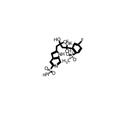 CCCS(=O)(=O)c1cc2cc(CC(O)(CC(C)(C)c3cc(F)ccc3S(C)(=O)=O)C(F)(F)F)[nH]c2cn1